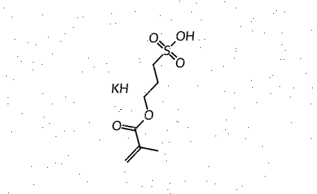 C=C(C)C(=O)OCCCS(=O)(=O)O.[KH]